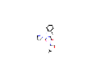 CC(C)C[C@H](NC(=O)[C@H](Cc1ccccc1)NC(=O)[C@@H]1CCCN1)C(=O)O